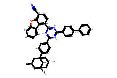 CC1C[C@H]2C[C@@H](C)CC(c3ccc(-c4nc(-c5ccc(-c6ccccc6)cc5)nc(-c5ccc(C#N)c6oc7ccccc7c56)n4)cc3)(C1)C2